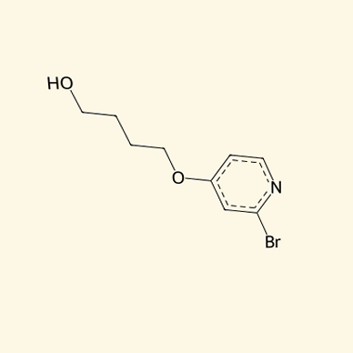 OCCCCOc1ccnc(Br)c1